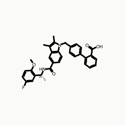 COc1ccc(F)cc1[C@@H](C)NC(=O)c1ccc2c(c1)c(C)c(C)n2Cc1ccc(-c2ccccc2C(=O)O)cc1